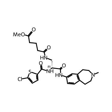 COC(=O)CCCC(=O)NC[C@@H](NC(=O)c1ccc(Cl)s1)C(=O)Nc1ccc2c(c1)CCN(C)CC2